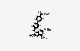 CCCCOc1nc(N)c2nc(O)n(Cc3ccc(N4CCC(C(=O)OC)CC4)nc3)c2n1